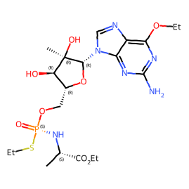 CCOC(=O)[C@H](C)N[P@](=O)(OC[C@H]1O[C@@H](n2cnc3c(OCC)nc(N)nc32)[C@](C)(O)[C@@H]1O)SCC